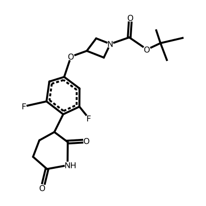 CC(C)(C)OC(=O)N1CC(Oc2cc(F)c(C3CCC(=O)NC3=O)c(F)c2)C1